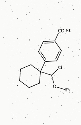 CCOC(=O)c1ccc(C2(C(Cl)OC(C)C)CCCCC2)cc1